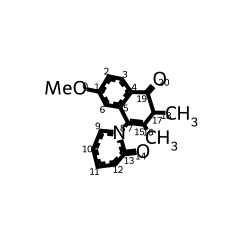 COc1ccc2c(c1)C(n1ccccc1=O)=C(C)C(C)C2=O